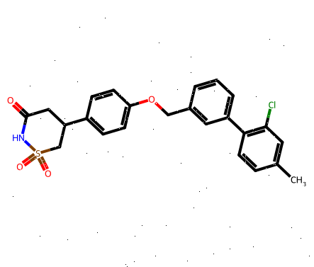 Cc1ccc(-c2cccc(COc3ccc(C4CC(=O)NS(=O)(=O)C4)cc3)c2)c(Cl)c1